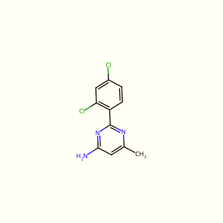 Cc1cc(N)nc(-c2ccc(Cl)cc2Cl)n1